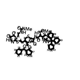 CNC(=O)NCCn1c(SC=CC2=C(C(=O)OC(c3ccccc3)c3ccccc3)N3C(=O)C(NC(=O)C(=NOC)c4csc(NC(c5ccccc5)(c5ccccc5)c5ccccc5)n4)C3SC2)n[nH]c(=O)c1=O